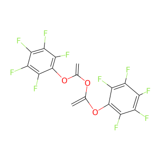 C=C(OC(=C)Oc1c(F)c(F)c(F)c(F)c1F)Oc1c(F)c(F)c(F)c(F)c1F